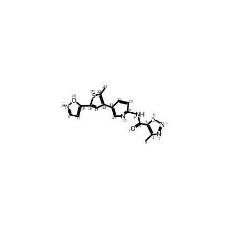 Cc1nnsc1C(=O)Nc1ccc(-c2cc(-c3ccno3)sc2C)cn1